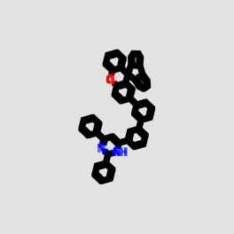 C1=C(c2cccc(-c3cccc(-c4ccc5c(c4)C4(c6ccccc6O5)c5ccccc5-c5ccccc54)c3)c2)NC(c2ccccc2)N=C1c1ccccc1